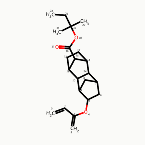 C=CC(=C)OC1CC2CC1C1C3CCC(C3C(=O)OC(C)(C)CC)C21